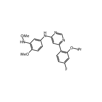 CONc1cc(Nc2cc(-c3ccc(F)cc3OC(C)C)ncn2)ccc1OC